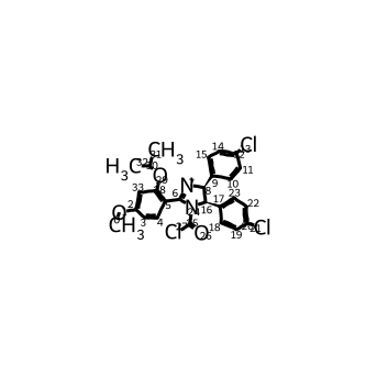 COc1ccc(C2=N[C@@H](c3ccc(Cl)cc3)[C@@H](c3ccc(Cl)cc3)N2C(=O)Cl)c(OC(C)C)c1